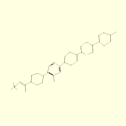 CC1CCC(C2CCC(C3CCC(c4ccc(C5CCC(/C(F)=C/C(F)(F)F)CC5)c(F)c4)CC3)OC2)CC1